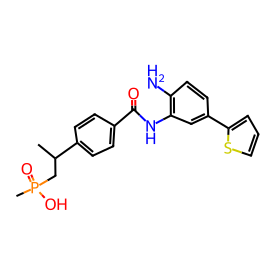 CC(CP(C)(=O)O)c1ccc(C(=O)Nc2cc(-c3cccs3)ccc2N)cc1